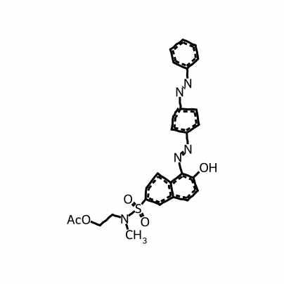 CC(=O)OCCN(C)S(=O)(=O)c1ccc2c(N=Nc3ccc(N=Nc4ccccc4)cc3)c(O)ccc2c1